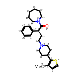 COc1ccsc1C1CCN(CC[C@H](C(=O)N2CCCCCC2)c2ccccc2)CC1